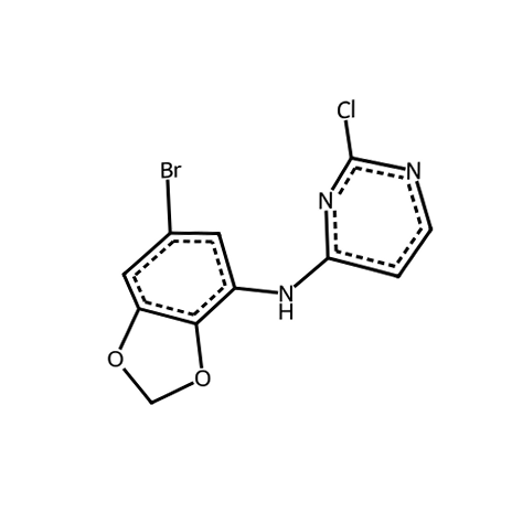 Clc1nccc(Nc2cc(Br)cc3c2OCO3)n1